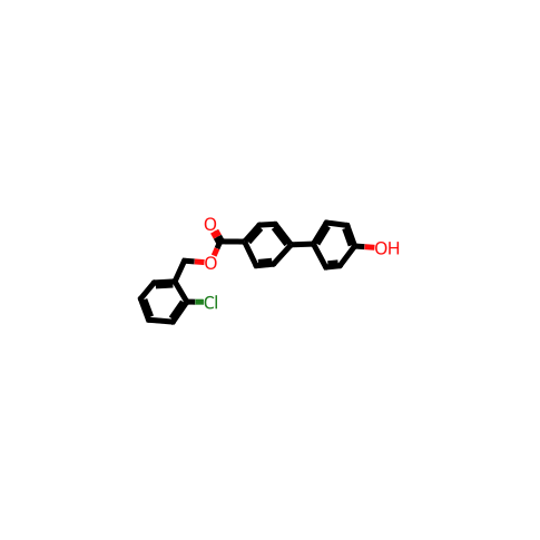 O=C(OCc1ccccc1Cl)c1ccc(-c2ccc(O)cc2)cc1